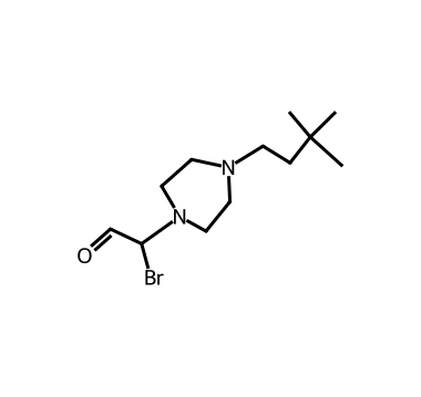 CC(C)(C)CCN1CCN(C(Br)C=O)CC1